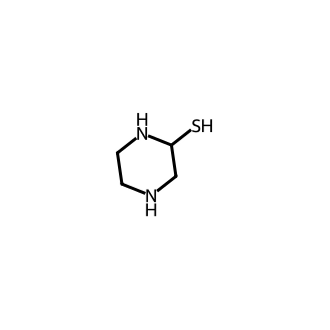 SC1CNCCN1